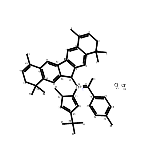 CC1=CCC(C)(C)c2cc3c(cc21)-c1cc2c(cc1[CH]3/[Zr+2]([C]1=CC(C(C)(C)C)=CC1C)=[C](\C)c1ccc(C)cc1)C(C)(C)CC=C2C.[Cl-].[Cl-]